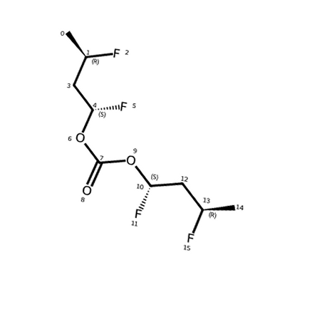 C[C@@H](F)C[C@H](F)OC(=O)O[C@@H](F)C[C@@H](C)F